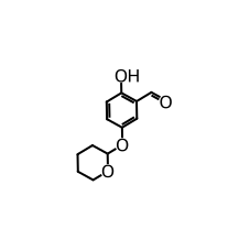 O=Cc1cc(OC2CCCCO2)ccc1O